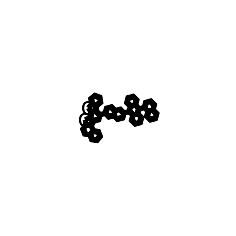 c1ccc2c(-c3c4ccccc4c(-c4ccc5cc(-c6cc7c(oc8ccc9ccccc9c87)c7oc8ccccc8c67)ccc5c4)c4ccccc34)cccc2c1